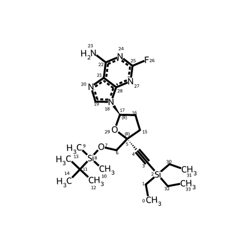 CC[Si](C#C[C@@]1(CO[Si](C)(C)C(C)(C)C)CC[C@H](n2cnc3c(N)nc(F)nc32)O1)(CC)CC